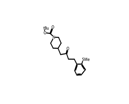 CSc1ccccc1CCC(=O)CC1CCN(C(=O)OC(C)(C)C)CC1